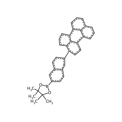 CC1(C)OB(c2ccc3cc(-c4ccc5c6cccc7cccc(c8cccc4c85)c76)ccc3c2)OC1(C)C